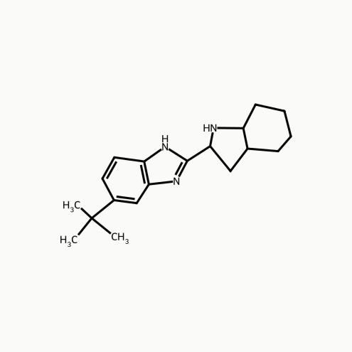 CC(C)(C)c1ccc2[nH]c(C3CC4CCCCC4N3)nc2c1